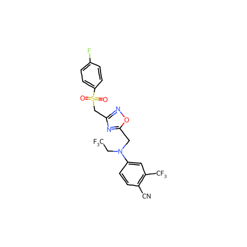 N#Cc1ccc(N(Cc2nc(CS(=O)(=O)c3ccc(F)cc3)no2)CC(F)(F)F)cc1C(F)(F)F